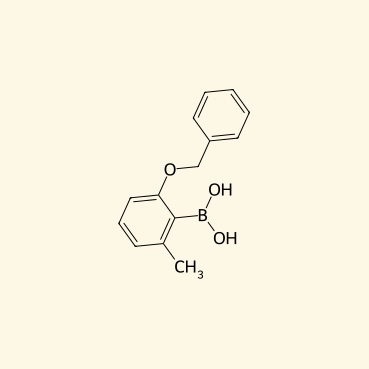 Cc1cccc(OCc2ccccc2)c1B(O)O